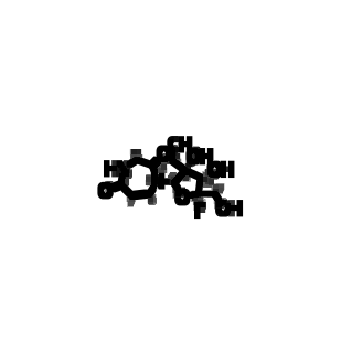 CC[C@]1(O)[C@H](N2C=CC(=O)NCC2=O)O[C@](F)(CO)[C@H]1O